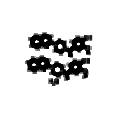 COc1cc(C(C)N2CCN(c3ccc4ccccc4n3)CC2)ccc1O.COc1cc(C(C)N2CCN(c3ccc4ccccc4n3)CC2)ccc1O.O